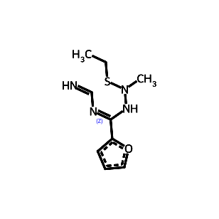 CCSN(C)N/C(=N\C=N)c1ccco1